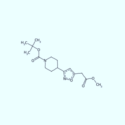 COC(=O)Cc1cc(C2CCN(C(=O)OC(C)(C)C)CC2)no1